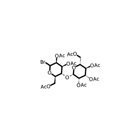 CC(=O)OC[C@H]1O[C@@H](O[C@H]2[C@H](OC(C)=O)[C@H](OC(C)=O)C(Br)O[C@@H]2COC(C)=O)[C@@H](OC(C)=O)[C@@H](OC(C)=O)[C@@H]1OC(C)=O